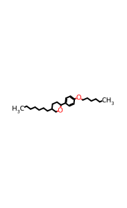 CCCCCCCC1CCC(c2ccc(OCCCCCC)cc2)OC1